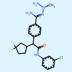 CN(N)/N=C(\N)c1ccc(C(C(=O)Nc2cccc(Cl)c2)C2CCC(F)(F)C2)cc1